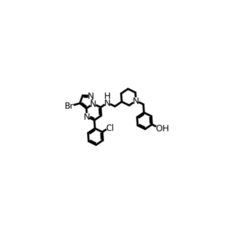 Oc1cccc(CN2CCCC(CNc3cc(-c4ccccc4Cl)nc4c(Br)cnn34)C2)c1